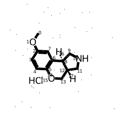 COc1ccc2c(c1)[C@H]1CNC[C@@H]1CO2.Cl